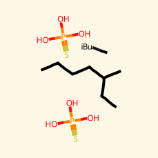 CCC(C)C.CCCCC(C)CC.OP(O)(O)=S.OP(O)(O)=S